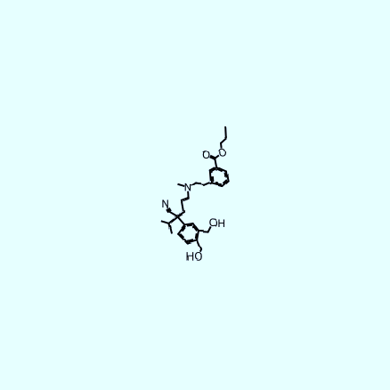 CCCOC(=O)c1cccc(CCN(C)CCCC(C#N)(c2ccc(CO)c(CO)c2)C(C)C)c1